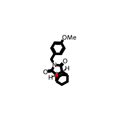 COc1ccc(CN2C(=O)[C@@H]3C4CCC(CC4=O)[C@@H]3C2=O)cc1